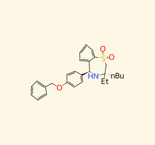 CCCC[C@@]1(CC)CS(=O)(=O)c2ccccc2[C@H](c2ccc(OCc3ccccc3)cc2)N1